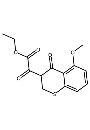 CCOC(=O)C(=O)C1CSc2cccc(OC)c2C1=O